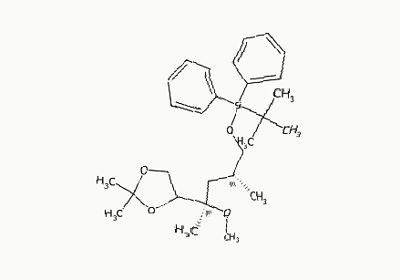 CO[C@](C)(C[C@@H](C)CO[Si](c1ccccc1)(c1ccccc1)C(C)(C)C)C1COC(C)(C)O1